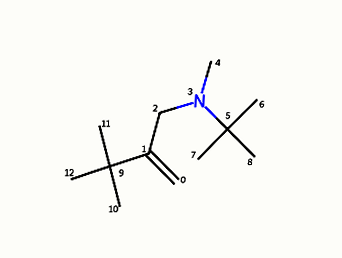 C=C(CN(C)C(C)(C)C)C(C)(C)C